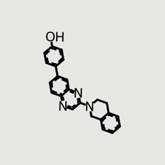 Oc1ccc(-c2ccc3ncc(N4CCc5ccccc5C4)nc3c2)cc1